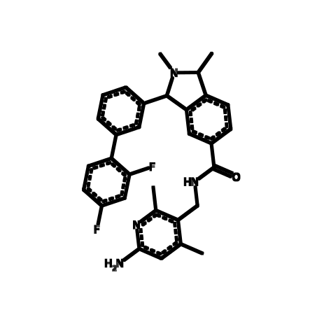 Cc1cc(N)nc(C)c1CNC(=O)c1ccc2c(c1)C(c1cccc(-c3ccc(F)cc3F)c1)N(C)C2C